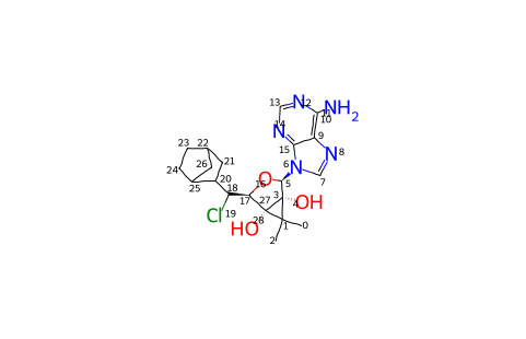 CC1(C)[C@]2(O)[C@H](n3cnc4c(N)ncnc43)O[C@H](C(Cl)C3CC4CCC3C4)[C@]12O